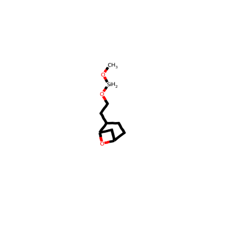 CO[SiH2]OCCC1CCC2CC1O2